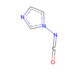 O=C=Nn1ccnc1